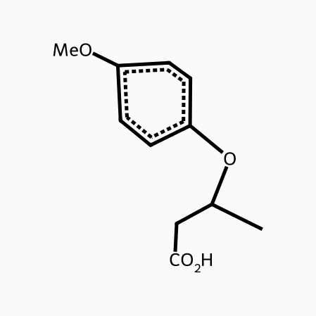 COc1ccc(OC(C)CC(=O)O)cc1